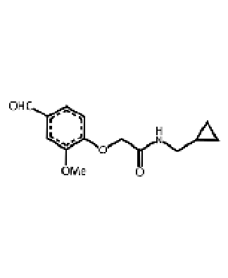 COc1cc(C=O)ccc1OCC(=O)NCC1CC1